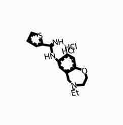 CCN1CCOc2ccc(NC(=N)c3cccs3)cc2C1.Cl.Cl